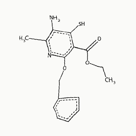 CCOC(=O)c1c(OCc2ccccc2)nc(C)c(N)c1S